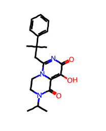 CC(C)N1CCn2c(CC(C)(C)c3ccccc3)nc(=O)c(O)c2C1=O